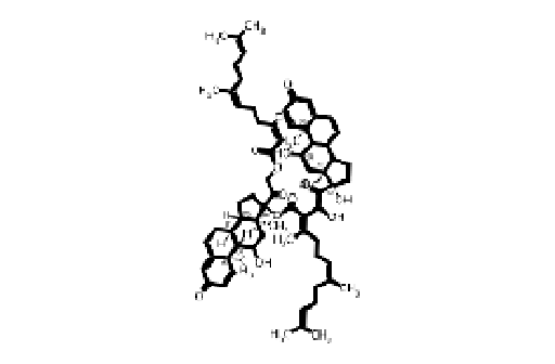 CC(C)=CCCC(C)=CCCC(C)=CC(=O)OCC(=O)[C@@]1(OC(=O)C(=C(C)CCC=C(C)CCC=C(C)C)C(O)C(=O)[C@]2(O)CCC3C4CCC5=CC(=O)C=C[C@]5(C)C4[C@H](O)C[C@@]32C)CC[C@H]2[C@@H]3CCC4=CC(=O)C=C[C@]4(C)[C@H]3C(O)C[C@@]21C